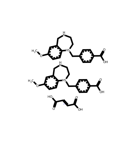 COc1ccc2c(c1)CNCC[SH]2Cc1ccc(C(=O)O)cc1.COc1ccc2c(c1)CNCC[SH]2Cc1ccc(C(=O)O)cc1.O=C(O)/C=C/C(=O)O